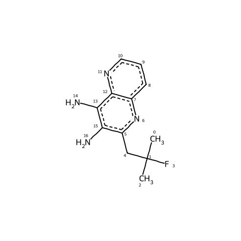 CC(C)(F)Cc1nc2cccnc2c(N)c1N